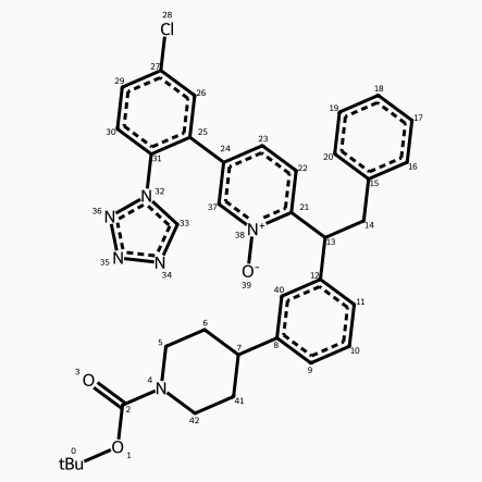 CC(C)(C)OC(=O)N1CCC(c2cccc(C(Cc3ccccc3)c3ccc(-c4cc(Cl)ccc4-n4cnnn4)c[n+]3[O-])c2)CC1